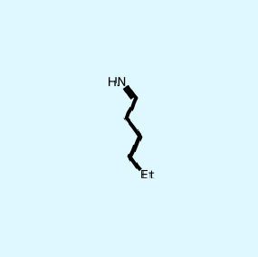 CCCCCC=N